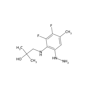 Cc1cc(NN)c(NCC(C)(C)O)c(F)c1F